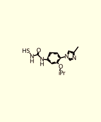 Cc1cn(-c2ccc(NC(=O)NS)cc2OC(C)C)cn1